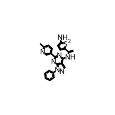 C=C(Nc1nc(-c2ccc(C)nc2)nc2c1cnn2-c1ccccc1)c1ccc(N)s1